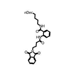 CCCCCCCCCCCCCCNC(=O)c1ccccc1NC(=O)CCCN1C(=O)c2ccccc2C1=O